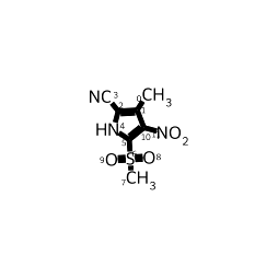 Cc1c(C#N)[nH]c(S(C)(=O)=O)c1[N+](=O)[O-]